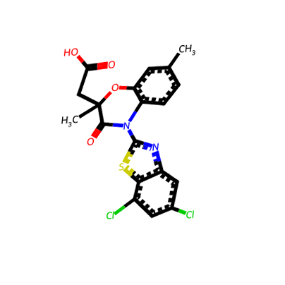 Cc1ccc2c(c1)OC(C)(CC(=O)O)C(=O)N2c1nc2cc(Cl)cc(Cl)c2s1